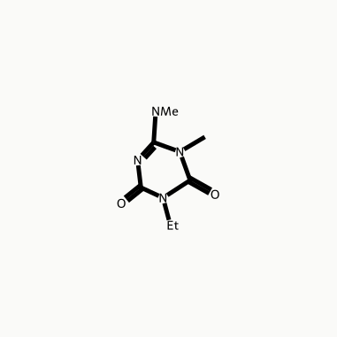 CCn1c(=O)nc(NC)n(C)c1=O